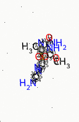 COc1cccc(Nc2c(C(N)=O)cnc3c(C)cc(S(=O)(=O)c4ccc5cn(-c6ccc(N)cc6)nc5c4)cc23)c1